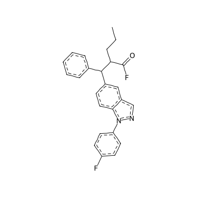 CCCC(C(=O)F)C(c1ccccc1)c1ccc2c(cnn2-c2ccc(F)cc2)c1